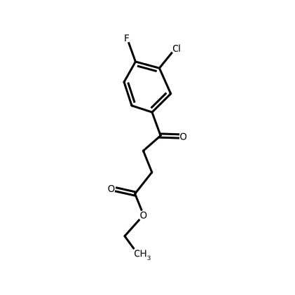 CCOC(=O)CCC(=O)c1ccc(F)c(Cl)c1